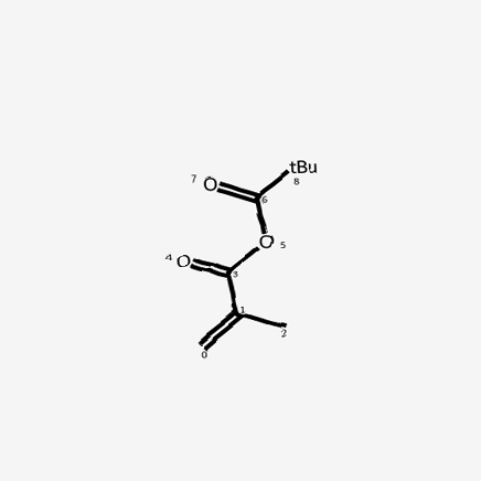 C=C(C)C(=O)OC(=O)C(C)(C)C